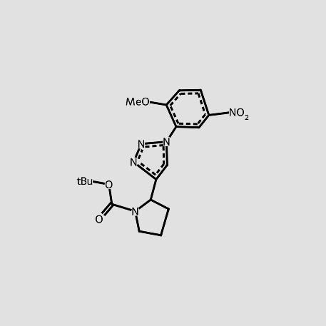 COc1ccc([N+](=O)[O-])cc1-n1cc(C2CCCN2C(=O)OC(C)(C)C)nn1